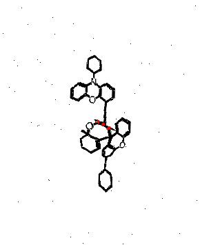 CC12CCCC=C1C1(C3=C(CC(C4CCCCC4)C=C3)Oc3ccccc31)C1CCC(C3CC=CC4=C3Oc3ccccc3N4C3CCCCC3)=CC1O2